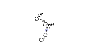 CN(C=O)c1ccccc1C1C[C@H]1c1ccc2c(/C=C/c3ccc(CN4CCCCC4)cc3)n[nH]c2c1